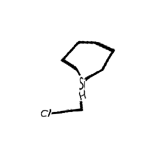 ClC[SiH]1CCCC1